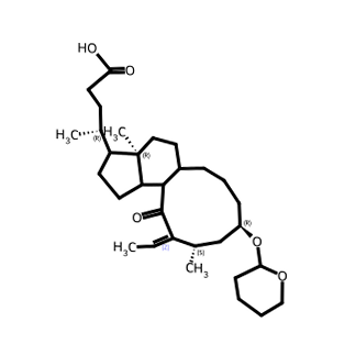 C/C=C1\C(=O)C2C(CCC[C@@H](OC3CCCCO3)C[C@@H]1C)CC[C@@]1(C)C2CCC1[C@H](C)CCC(=O)O